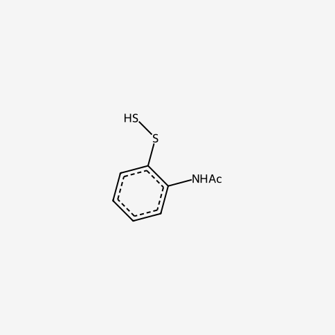 CC(=O)Nc1ccccc1SS